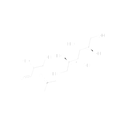 CC(C)=O.O=CC(O)CO.OC[C@@H](O)[C@@H](O)[C@H](O)[C@H](O)CO